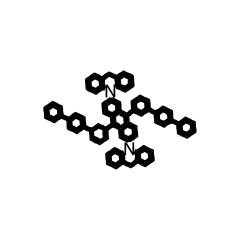 C1=CC(c2ccc(-c3ccccc3)cc2)CC(c2c3cc(N4c5ccccc5Cc5ccccc54)ccc3c(-c3cccc(-c4ccc(-c5ccccc5)cc4)c3)c3cc(N4c5ccccc5Cc5ccccc54)ccc23)=C1